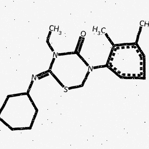 CCN1C(=O)N(c2cccc(C)c2C)CS/C1=N\C1CCCCC1